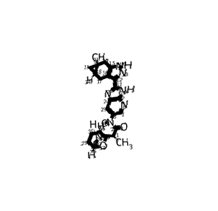 C[C@H](C(=O)N(C)c1cnc2[nH]c(-c3n[nH]c4c3C[C@@H]3C[C@]3(C)C4)nc2c1)N1C[C@H]2CC[C@@H]1CO2